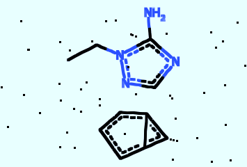 CCn1ncnc1N.c1cc2cc-2c1